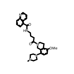 COc1ccc(N2CCN(C)CC2)c2c1CCN(C(=O)CCCNC(=O)c1cccc3ncccc13)C2